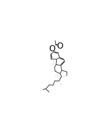 CC(=O)OC1=CC2=CC=C3C(CC[C@@]4(C)C3CC[C@@H]4[C@H](C)CCCC(C)C)[C@@]2(C)C=C1